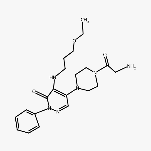 CCOCCCNc1c(N2CCN(C(=O)CN)CC2)cnn(-c2ccccc2)c1=O